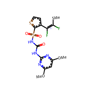 COc1cc(OC)nc(NC(=O)NS(=O)(=O)c2sccc2/C(F)=C(/F)SC)n1